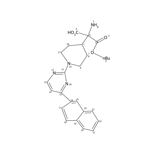 CCCCOC(=O)C(N)(C(=O)O)C1CCN(c2nccc(-c3ccc4ccccc4c3)n2)CC1